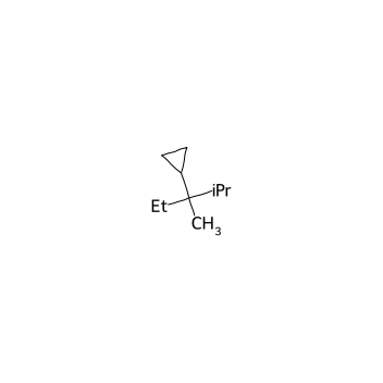 CCC(C)(C(C)C)C1CC1